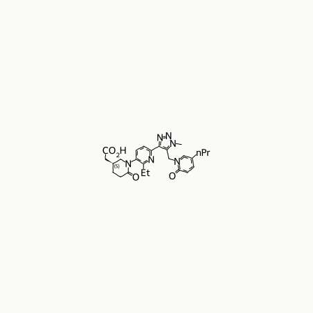 CCCc1ccc(=O)n(Cc2c(-c3ccc(N4C[C@H](CC(=O)O)CCC4=O)c(CC)n3)nnn2C)c1